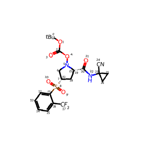 CC(C)(C)OC(=O)ON1C[C@@H](S(=O)(=O)c2ccccc2C(F)(F)F)C[C@H]1C(=O)NC1(C#N)CC1